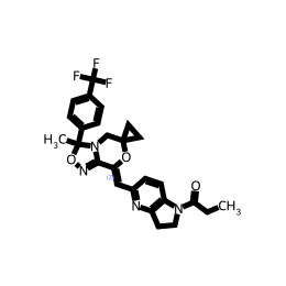 CCC(=O)N1CCc2nc(/C=C3\OC4(CC4)CN4C3=NOC4(C)c3ccc(C(F)(F)F)cc3)ccc21